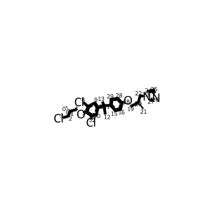 C[C@@H](CCl)COc1c(Cl)cc(C(C)(C)c2ccc(OC[C@H](C)Cn3ccnc3)cc2)cc1Cl